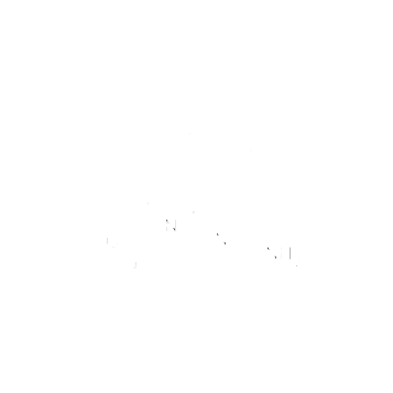 Nc1cc2ccccc2c(N2CCOCC2)n1